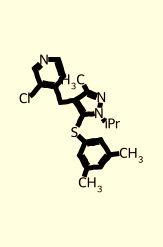 Cc1cc(C)cc(Sc2c(Cc3ccncc3Cl)c(C)nn2C(C)C)c1